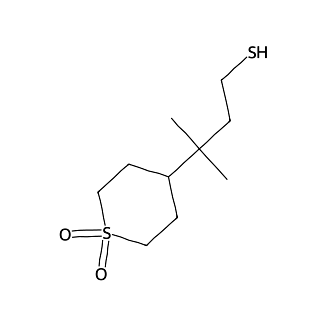 CC(C)(CCS)C1CCS(=O)(=O)CC1